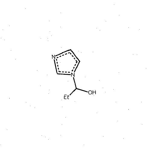 CCC(O)n1ccnc1